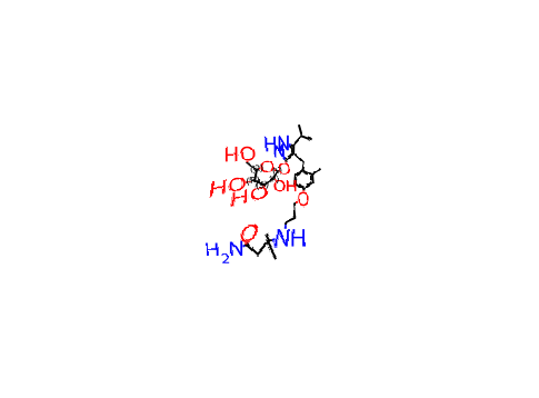 Cc1cc(OCCCNC(C)(C)CC(N)=O)ccc1Cc1c(O[C@@H]2O[C@H](CO)[C@H](O)[C@H](O)[C@H]2O)n[nH]c1C(C)C